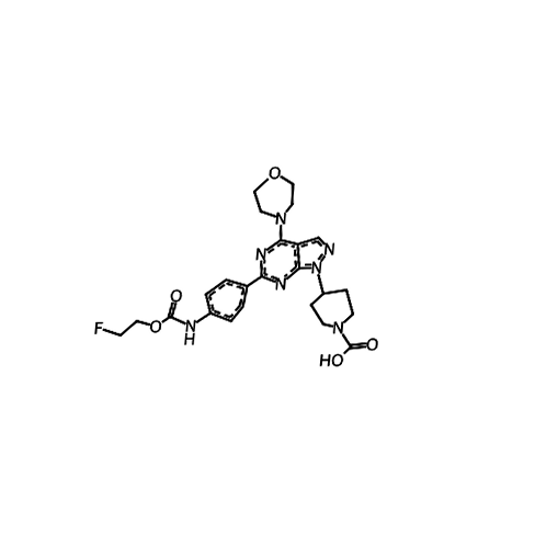 O=C(Nc1ccc(-c2nc(N3CCOCC3)c3cnn(C4CCN(C(=O)O)CC4)c3n2)cc1)OCCF